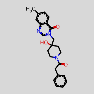 Cc1ccc2c(=O)n(CC3(O)CCN(C(=O)Cc4ccccc4)CC3)cnc2c1